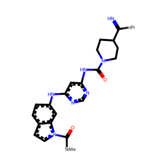 CCCC(=N)C1CCN(C(=O)Nc2cc(Nc3ccc4ccn(C(=O)NC)c4c3)ncn2)CC1